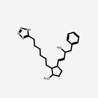 CC(=O)OC1CCC(C=CC(O)Cc2ccccc2)C1CCCCCCc1nnn[nH]1